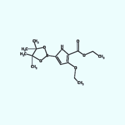 CCOC(=O)c1[nH]c(B2OC(C)(C)C(C)(C)O2)cc1OCC